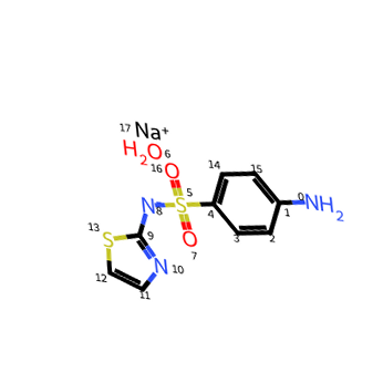 Nc1ccc(S(=O)(=O)[N-]c2nccs2)cc1.O.[Na+]